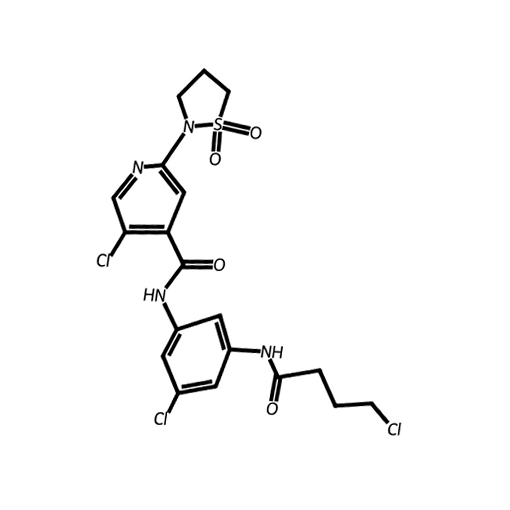 O=C(CCCCl)Nc1cc(Cl)cc(NC(=O)c2cc(N3CCCS3(=O)=O)ncc2Cl)c1